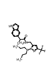 CCCN(CCC)n1nc(C(F)(F)F)cc1CNC(=O)C(C)c1ccc2[nH]ccc2c1